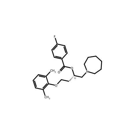 Cc1cccc(C)c1OCC[C@@H](CN1CCCCCC1)OC(=O)c1ccc(F)cc1